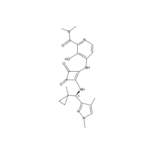 Cc1cn(C)nc1[C@H](Nc1c(Nc2ccnc(C(=O)N(C)C)c2O)c(=O)c1=O)C1(C)CC1